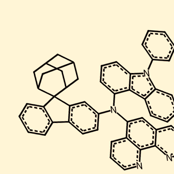 c1ccc(-n2c3ccccc3c3c(N(c4ccc5c(c4)C4(c6ccccc6-5)C5CC6CC(C5)CC4C6)c4cc5cccnc5c5ncccc45)cccc32)cc1